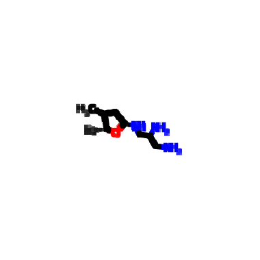 CC[C@H]1O[C@@H](NC[C@@H](N)CN)CC1C